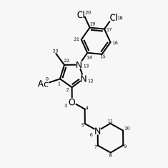 CC(=O)c1c(OCCN2CCCCC2)nn(-c2ccc(Cl)c(Cl)c2)c1C